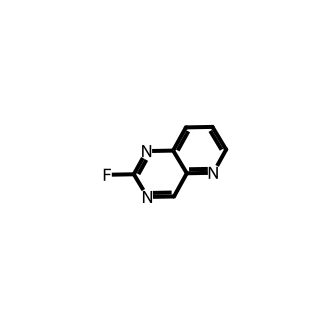 Fc1ncc2ncccc2n1